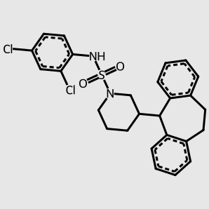 O=S(=O)(Nc1ccc(Cl)cc1Cl)N1CCCC(C2c3ccccc3CCc3ccccc32)C1